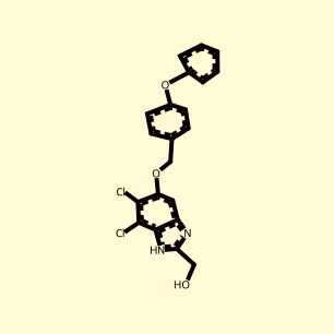 OCc1nc2cc(OCc3ccc(Oc4ccccc4)cc3)c(Cl)c(Cl)c2[nH]1